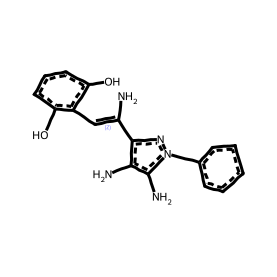 N/C(=C\c1c(O)cccc1O)c1nn(-c2ccccc2)c(N)c1N